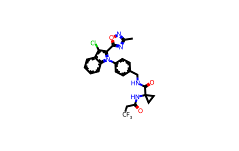 Cc1noc(-c2c(Cl)c3ccccc3n2-c2ccc(CNC(=O)C3(NC(=O)CC(F)(F)F)CC3)cc2)n1